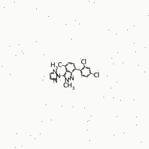 Cc1ccc(-c2ccc(Cl)cc2Cl)c2nn(C)c(-n3nccn3)c12